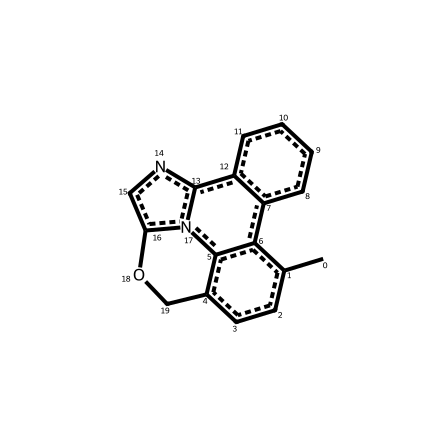 Cc1ccc2c3c1c1ccccc1c1ncc(n13)OC2